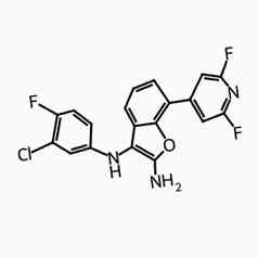 Nc1oc2c(-c3cc(F)nc(F)c3)cccc2c1Nc1ccc(F)c(Cl)c1